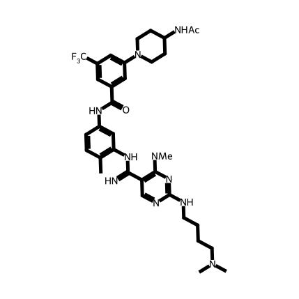 CNc1nc(NCCCCN(C)C)ncc1C(=N)Nc1cc(NC(=O)c2cc(N3CCC(NC(C)=O)CC3)cc(C(F)(F)F)c2)ccc1C